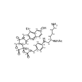 CCc1c2c(nc3ccc(O)cc13)-c1cc3c(c(=O)n1C2)COC(=O)C3(CC)OC(=O)OCc1ccc(NCC(CCCCN)NC(C)=O)cc1